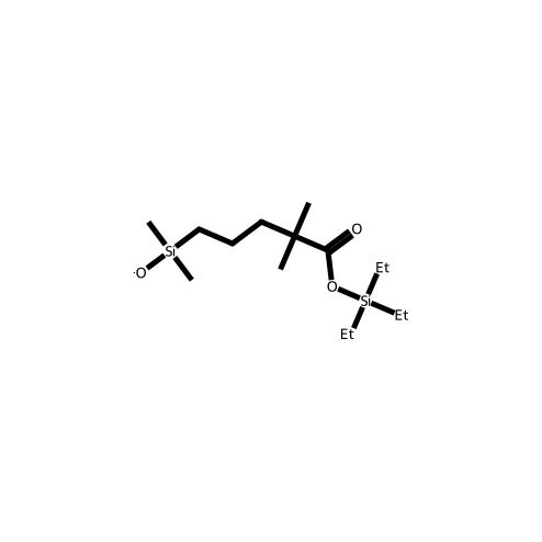 CC[Si](CC)(CC)OC(=O)C(C)(C)CCC[Si](C)(C)[O]